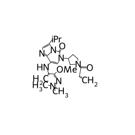 C=CC(=O)N1CCC(n2cc(NC(=C)/C(=N\N(C)C)OC)c3ncc(C(C)C)n3c2=O)C1